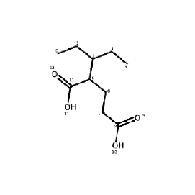 CCC(CC)C(CCC(=O)O)C(=O)O